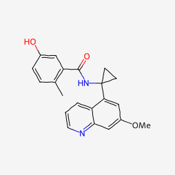 COc1cc(C2(NC(=O)c3cc(O)ccc3C)CC2)c2cccnc2c1